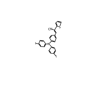 [C-]#[N+]/C(=C\c1ccc(N(c2ccc(I)cc2)c2ccc(I)cc2)cc1)c1cccs1